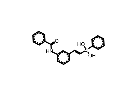 O=C(Nc1cccc(/C=C/[Si](O)(O)c2ccccc2)c1)c1ccccc1